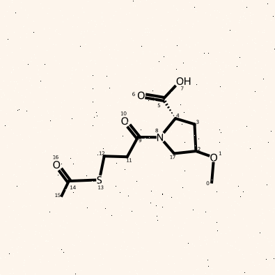 COC1C[C@@H](C(=O)O)N(C(=O)CCSC(C)=O)C1